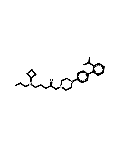 CCCN(CCCC(=O)CN1CCN(c2ccc(-c3ccccc3C(C)C)cc2)CC1)C1CCC1